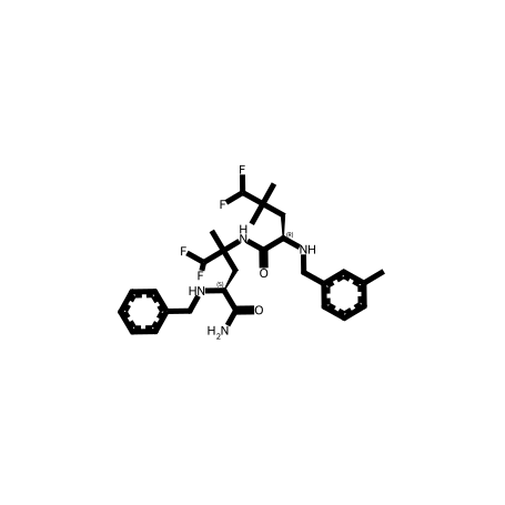 Cc1cccc(CN[C@H](CC(C)(C)C(F)F)C(=O)NC(C)(C[C@H](NCc2ccccc2)C(N)=O)C(F)F)c1